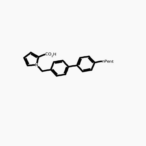 CCCCCc1ccc(-c2ccc(Cn3cccc3C(=O)O)cc2)cc1